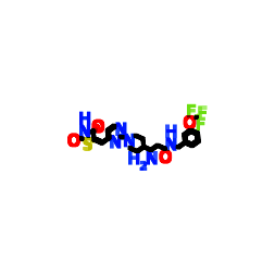 NC(CC(=O)NCc1cccc(OC(F)(F)F)c1)C1CCN(c2nccc(/C=C3/SC(=O)NC3=O)n2)CC1